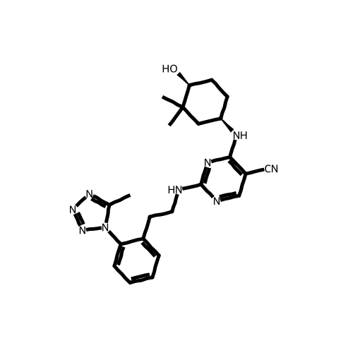 Cc1nnnn1-c1ccccc1CCNc1ncc(C#N)c(N[C@@H]2CC[C@H](O)C(C)(C)C2)n1